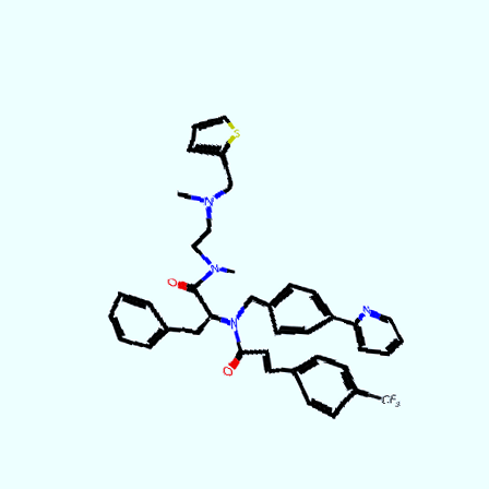 CN(CCN(C)C(=O)[C@H](Cc1ccccc1)N(Cc1ccc(-c2ccccn2)cc1)C(=O)C=Cc1ccc(C(F)(F)F)cc1)Cc1cccs1